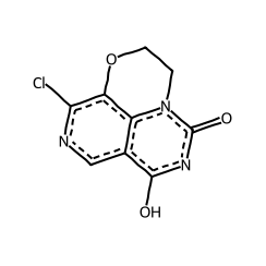 O=c1nc(O)c2cnc(Cl)c3c2n1CCO3